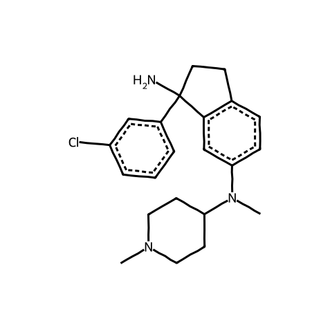 CN1CCC(N(C)c2ccc3c(c2)C(N)(c2cccc(Cl)c2)CC3)CC1